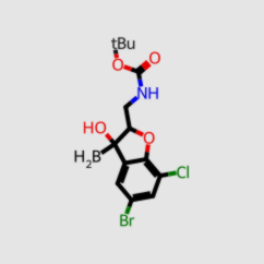 BC1(O)c2cc(Br)cc(Cl)c2OC1CNC(=O)OC(C)(C)C